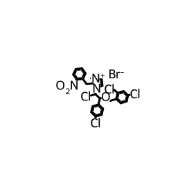 O=[N+]([O-])c1ccccc1CC1=[N+]C=CN1C(Cl)C(OCc1ccc(Cl)cc1Cl)c1ccc(Cl)cc1.[Br-]